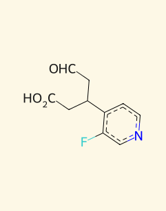 O=CCC(CC(=O)O)c1ccncc1F